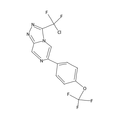 FC(F)(F)Oc1ccc(-c2cn3c(C(F)(F)Cl)nnc3cn2)cc1